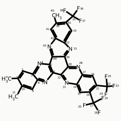 Cc1cc2nc3c(nc2cc1C)c1nc2cc(C(F)(F)F)c(C(F)(F)F)cc2nc1c1nc2cc(C(F)(F)F)c(C)cc2nc31